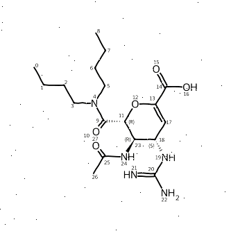 CCCCN(CCCC)C(=O)[C@@H]1OC(C(=O)O)=C[C@H](NC(=N)N)[C@H]1NC(C)=O